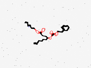 CC/C=C/CCOC(=O)CCC(CCCCCC)OC(=O)OCCc1ccccc1